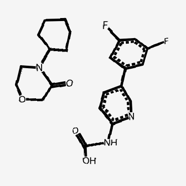 O=C(O)Nc1ccc(-c2cc(F)cc(F)c2)cn1.O=C1COCCN1C1CCCCC1